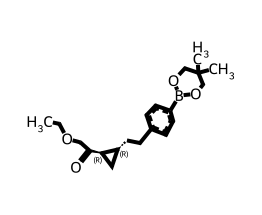 CCOCC(=O)[C@@H]1C[C@H]1CCc1ccc(B2OCC(C)(C)CO2)cc1